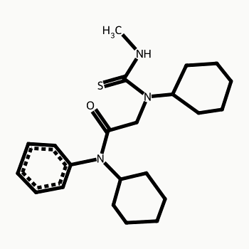 CNC(=S)N(CC(=O)N(c1ccccc1)C1CCCCC1)C1CCCCC1